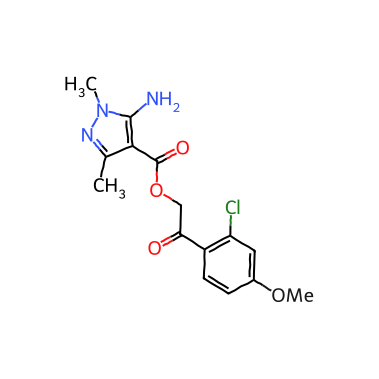 COc1ccc(C(=O)COC(=O)c2c(C)nn(C)c2N)c(Cl)c1